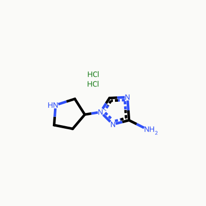 Cl.Cl.Nc1ncn(C2CCNC2)n1